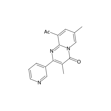 CC(=O)c1cc(C)cn2c(=O)c(C)c(-c3cccnc3)nc12